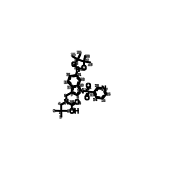 CC(C)(C)CN(Cc1cn(S(=O)(=O)c2cccnc2)c2cc(B3OC(C)(C)C(C)(C)O3)ccc12)C(=O)O